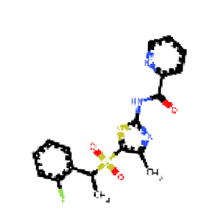 Cc1nc(NC(=O)c2ccccn2)sc1S(=O)(=O)C(C)c1ccccc1F